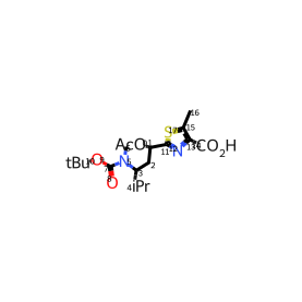 CC(=O)OC(CC(C(C)C)N(C)C(=O)OC(C)(C)C)c1nc(C(=O)O)c(C)s1